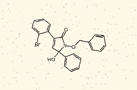 O=C1C(c2ccccc2Br)=CC(O)(c2ccccc2)N1OCc1ccccc1